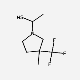 CC(S)N1CCC(I)(C(F)(F)F)C1